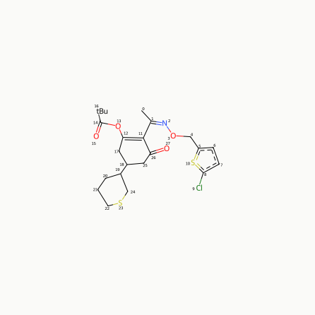 C/C(=N/OCc1ccc(Cl)s1)C1=C(OC(=O)C(C)(C)C)CC(C2CCCSC2)CC1=O